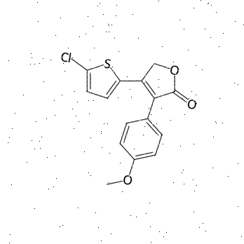 COc1ccc(C2=C(c3ccc(Cl)s3)COC2=O)cc1